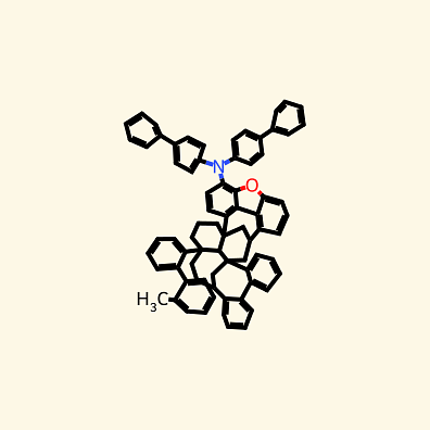 Cc1ccccc1-c1ccccc1C12CCCC34CC(CC5(CC(CC1)c1ccccc1-c1ccccc15)C23)c1cccc2oc3c(N(c5ccc(-c6ccccc6)cc5)c5ccc(-c6ccccc6)cc5)ccc4c3c12